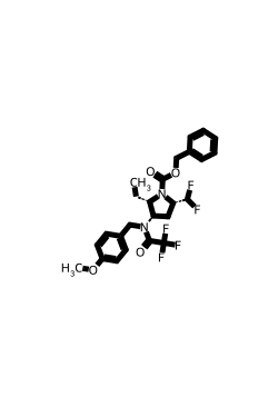 CC[C@H]1[C@@H](N(Cc2ccc(OC)cc2)C(=O)C(F)(F)F)C[C@@H](C(F)F)N1C(=O)OCc1ccccc1